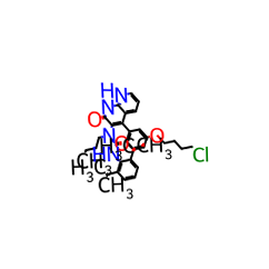 CCCCN(C(=O)Nc1c(C(C)C)cccc1C(C)C)c1c(-c2cccc(OCCCCCl)c2)c2cccnc2[nH]c1=O